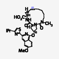 COc1ccc2c(O[C@@H]3C[C@H]4C(=O)N[C@]5(C(=O)O)C[C@H]5/C=C\CCCCN(C)C(=O)N4C3)nc(-c3nc(C(C)C)cs3)cc2c1